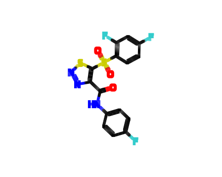 O=C(Nc1ccc(F)cc1)c1nnsc1S(=O)(=O)c1ccc(F)cc1F